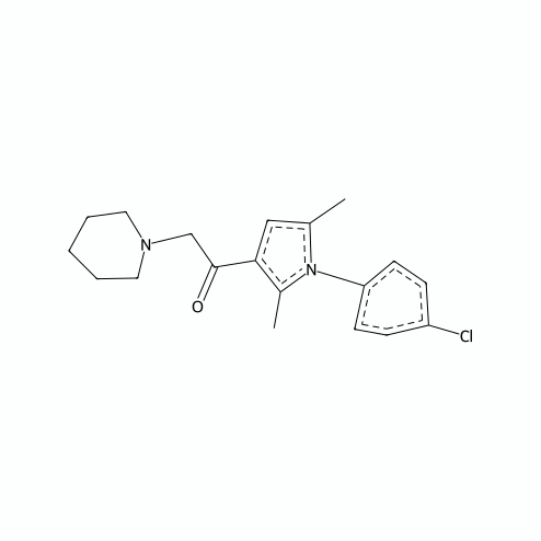 Cc1cc(C(=O)CN2CCCCC2)c(C)n1-c1ccc(Cl)cc1